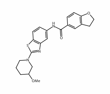 COC1CCCN(c2nc3cc(NC(=O)c4ccc5c(c4)CCO5)ccc3s2)C1